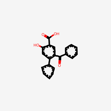 O=C(O)c1cc(C(=O)c2ccccc2)c(-c2ccccc2)cc1O